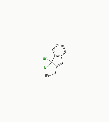 CC(C)CC1=Cc2ccccc2C1(Br)Br